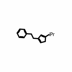 CC(C)C1=CC(CCc2ccccc2)=CC1